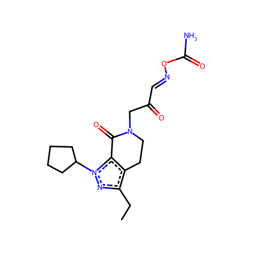 CCc1nn(C2CCCC2)c2c1CCN(CC(=O)C=NOC(N)=O)C2=O